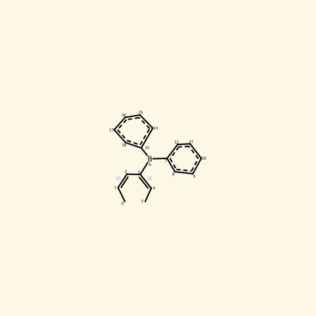 C/C=C\C(=C/C)B(c1ccccc1)c1ccccc1